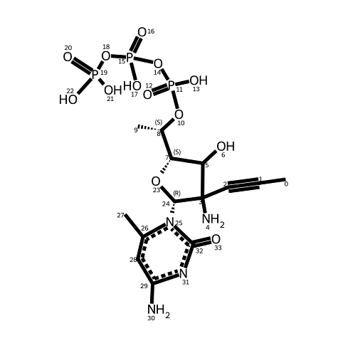 CC#CC1(N)C(O)[C@@H]([C@H](C)OP(=O)(O)OP(=O)(O)OP(=O)(O)O)O[C@H]1n1c(C)cc(N)nc1=O